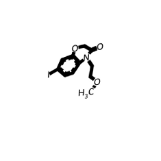 COCCN1C(=O)COc2cc(I)ccc21